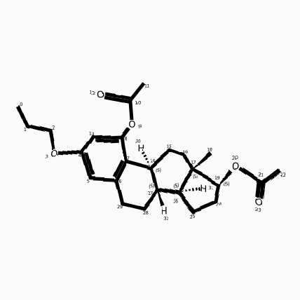 CCCOc1cc2c(c(OC(C)=O)c1)[C@H]1CC[C@]3(C)[C@@H](OC(C)=O)CC[C@H]3[C@@H]1CC2